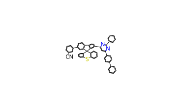 N#Cc1cccc(-c2ccc3c(c2)C2(c4ccccc4Sc4ccccc42)c2cc(-c4cc(-c5ccc(-c6ccccc6)cc5)nc(-c5ccccc5)n4)ccc2-3)c1